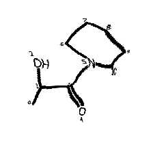 CC(O)C(=O)N1CCCCC1